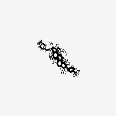 C=C(C)[C@@H]1CC[C@]2(NCCN3CCS(=O)(=O)CC3)CC[C@]3(C)[C@H](CCC4[C@@]5(C)CC=C(c6ccc(C(=O)O)cc6)C(C)(C)C5CC[C@]43C)C12